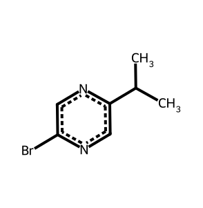 CC(C)c1cnc(Br)cn1